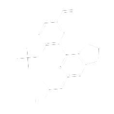 CC(C)Cc1cc2c(c(-c3cc(C=O)ccc3OC(F)(F)F)c1)OCO2